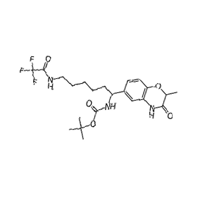 CC1Oc2ccc(C(CCCCCNC(=O)C(F)(F)F)NC(=O)OC(C)(C)C)cc2NC1=O